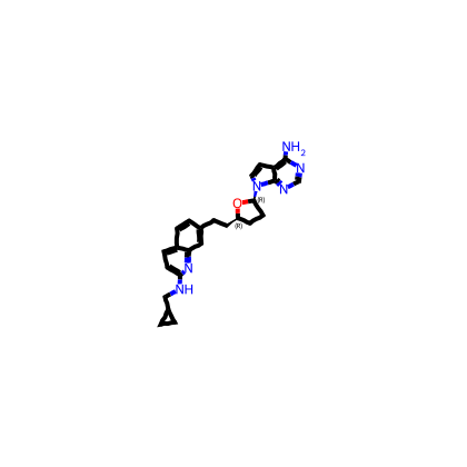 Nc1ncnc2c1ccn2[C@H]1CC[C@@H](CCc2ccc3ccc(NCC4CC4)nc3c2)O1